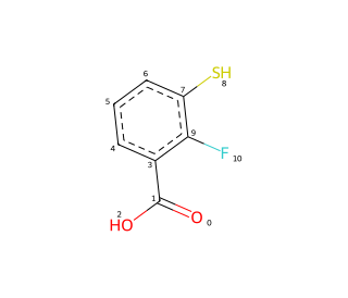 O=C(O)c1cccc(S)c1F